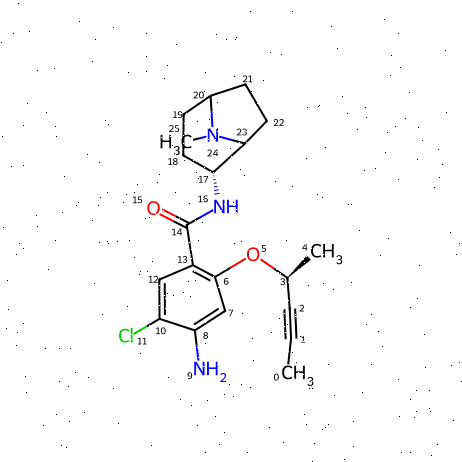 CC#C[C@H](C)Oc1cc(N)c(Cl)cc1C(=O)N[C@@H]1CCC2CCC1N2C